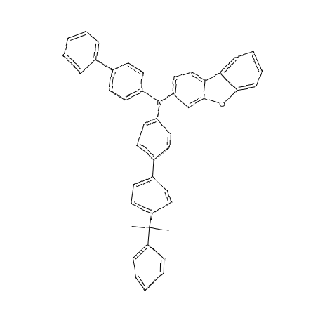 CC(C)(c1ccccc1)c1ccc(-c2ccc(N(c3ccc(-c4ccccc4)cc3)c3ccc4c(c3)oc3ccccc34)cc2)cc1